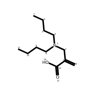 C=C(CN(CCCC)CCCC)C(=O)O